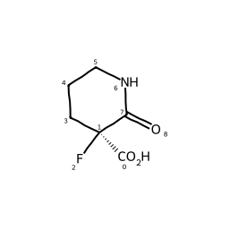 O=C(O)[C@]1(F)CCCNC1=O